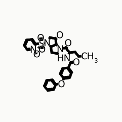 CCCC(NC(=O)c1ccc(Oc2ccccc2)cc1)C(=O)N1CCC2C1C(=O)CN2S(=O)(=O)c1cccc[n+]1[O-]